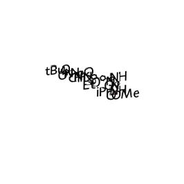 CCOc1cc(NC(=O)c2ccc(N3CCN(C(=O)OC(C)(C)C)C[C@H]3C)nc2)ccc1-c1ccc(-c2c[nH]c([C@@H]3CCCN3C(=O)[C@@H](NC(=O)OC)C(C)C)n2)cc1